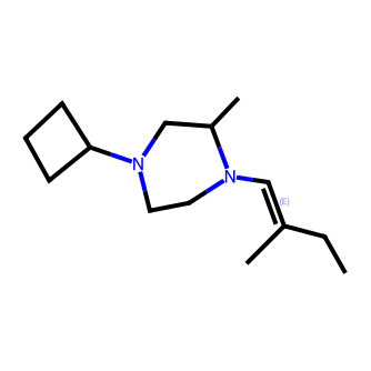 CC/C(C)=C/N1CCN(C2CCC2)CC1C